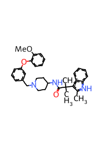 COc1ccccc1Oc1cccc(CN2CCC(NC(=O)C(C)(C)c3c(C)[nH]c4ccccc34)CC2)c1